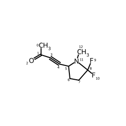 CC(=O)C#CC1CCC(F)(F)N1C